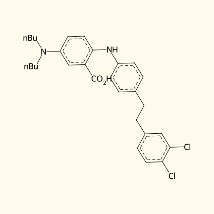 CCCCN(CCCC)c1ccc(Nc2ccc(CCc3ccc(Cl)c(Cl)c3)cc2)c(C(=O)O)c1